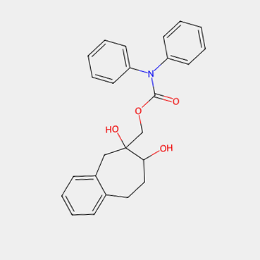 O=C(OCC1(O)Cc2ccccc2CCC1O)N(c1ccccc1)c1ccccc1